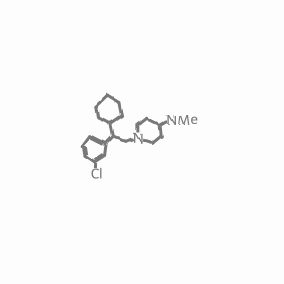 CNC1CCN(CC(c2cccc(Cl)c2)C2CCCCC2)CC1